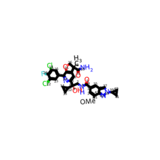 COc1cc(C(=O)NC[C@](O)(c2cc3c(c(-c4cc(Cl)c(F)c(Cl)c4)n2)OC[C@]3(C)C(N)=O)C2CC2)cc2cn(C3CC3)nc12